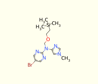 Cn1cnc(N(COCC[Si](C)(C)C)c2ncc(Br)cn2)c1